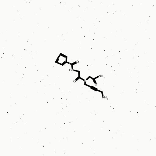 NCC#CCN(CC(N)=O)C(=O)CNC(=O)c1ccccc1